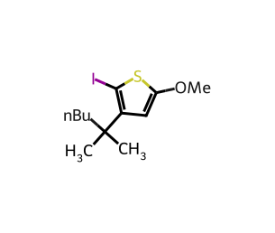 CCCCC(C)(C)c1cc(OC)sc1I